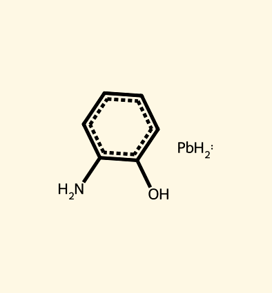 Nc1ccccc1O.[PbH2]